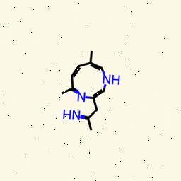 CC(=N)Cc1c[nH]cc(C)ccc(C)n1